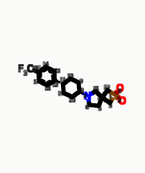 O=S1(=O)CC2(CCN([C@H]3CC[C@@H](c4ccc(C(F)(F)F)cc4)CC3)C2)C1